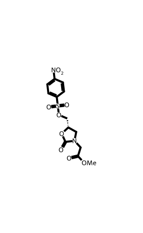 COC(=O)CN1C[C@@H](COS(=O)(=O)c2ccc([N+](=O)[O-])cc2)OC1=O